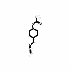 [N-]=[N+]=NCC1CCC(OC(N)=O)CC1